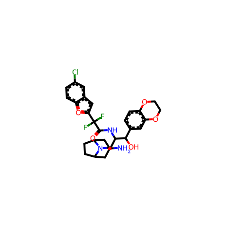 NC1CC2CCC(C1)N2CC(NC(=O)C(F)(F)c1cc2cc(Cl)ccc2o1)C(O)c1ccc2c(c1)OCCO2